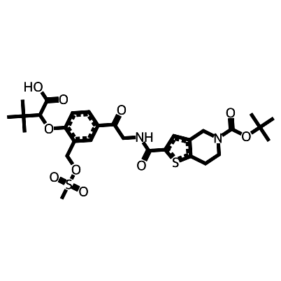 CC(C)(C)OC(=O)N1CCc2sc(C(=O)NCC(=O)c3ccc(OC(C(=O)O)C(C)(C)C)c(COS(C)(=O)=O)c3)cc2C1